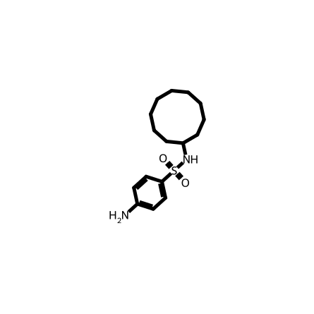 Nc1ccc(S(=O)(=O)NC2CCCCCCCCC2)cc1